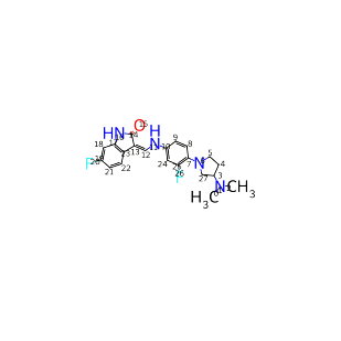 CN(C)C1CCN(c2ccc(NC=C3C(=O)Nc4cc(F)ccc43)cc2F)C1